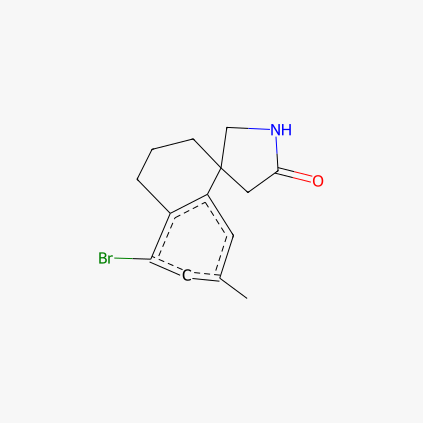 Cc1cc(Br)c2c(c1)C1(CCC2)CNC(=O)C1